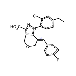 O=C(O)c1nn(-c2ccc(CI)cc2Cl)c2c1COC/C2=C\c1ccc(F)cc1